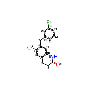 O=C1CCc2cc(Cl)c(Cc3cccc(F)c3)cc2N1